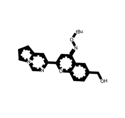 CC(C)(C)ON=c1cc(-c2cc3cccn3cn2)oc2ccc(CO)cc12